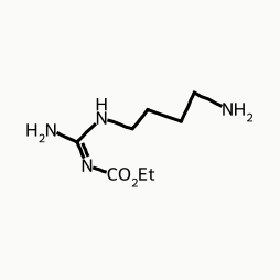 CCOC(=O)/N=C(/N)NCCCCN